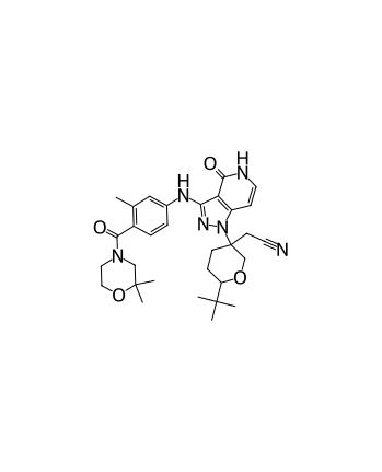 Cc1cc(Nc2nn(C3(CC#N)CCC(C(C)(C)C)OC3)c3cc[nH]c(=O)c23)ccc1C(=O)N1CCOC(C)(C)C1